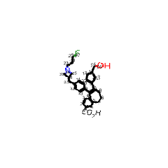 O=C(O)c1ccc2c(c1)CCCC(C1CCC(CO)C1)=C2c1ccc(CC2CN(CCCF)C2)cc1